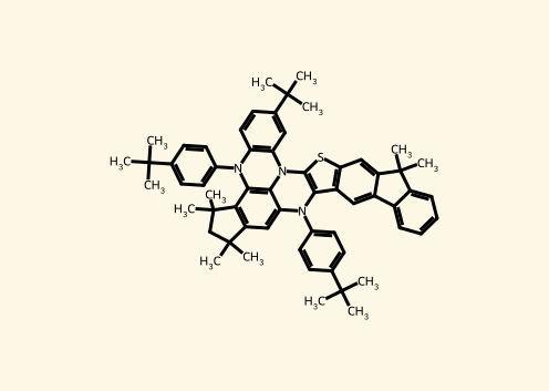 CC(C)(C)c1ccc(N2c3ccc(C(C)(C)C)cc3N3c4sc5cc6c(cc5c4N(c4ccc(C(C)(C)C)cc4)c4cc5c(c2c43)C(C)(C)CC5(C)C)-c2ccccc2C6(C)C)cc1